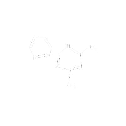 Cc1ccnc(N)c1.c1ccncc1